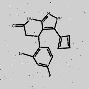 O=C1CC(c2ccc(F)cc2Cl)c2c(n[nH]c2C2=CC=C2)N1